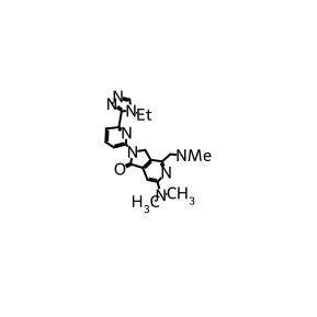 CCn1cnnc1-c1cccc(N2Cc3c(cc(N(C)C)nc3CNC)C2=O)n1